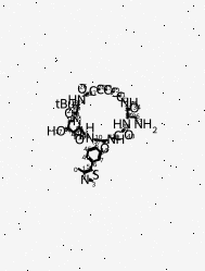 Cc1ncsc1-c1ccc([C@@H]2NC(=O)[C@@H]3C[C@@H](O)CN3C(=O)[C@H](C(C)(C)C)NC(=O)CCCCCNC(=O)[C@@H](CN)NC(=O)CNC2=O)cc1